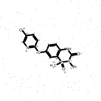 CC(C)N1C(=O)Nc2ccc(Oc3ccc(Cl)cn3)cc2P1(C)=O